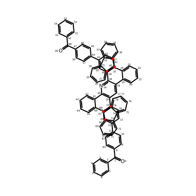 O=C(c1ccccc1)c1ccc(-c2ccc(-c3cc(-c4ccccc4-n4c5ccccc5c5ccccc54)c(-c4cccc(-c5ccc(C(=O)c6ccccc6)cc5)c4)nc3-c3ccccc3-n3c4ccccc4c4ccccc43)cc2)cc1